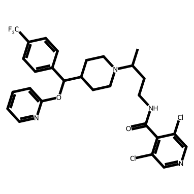 CC(CCNC(=O)c1c(Cl)cncc1Cl)N1CCC(C(Oc2ccccn2)c2ccc(C(F)(F)F)cc2)CC1